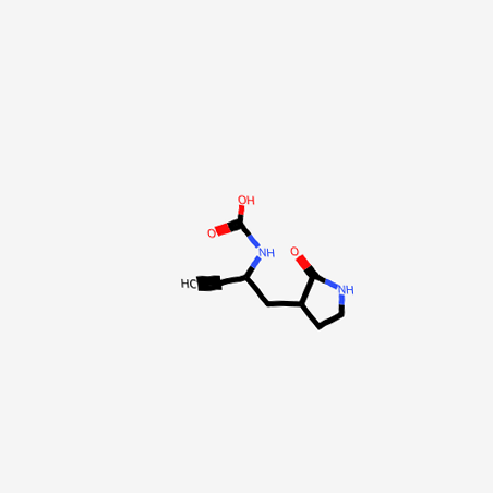 C#CC(CC1CCNC1=O)NC(=O)O